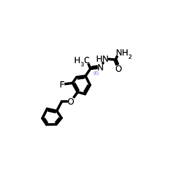 C/C(=N\NC(N)=O)c1ccc(OCc2ccccc2)c(F)c1